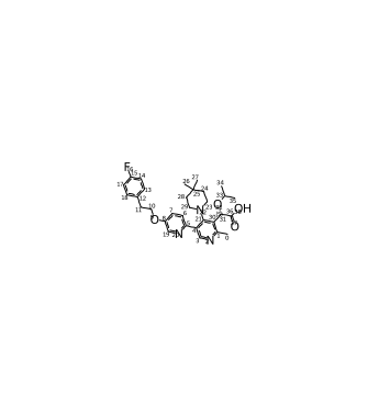 Cc1ncc(-c2ccc(OCCc3ccc(F)cc3)cn2)c(N2CCC(C)(C)CC2)c1[C@H](OC(C)C)C(=O)O